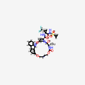 CC(C)(C)[C@@H]1NC(=O)OC/C=C/COc2ccc3c(c2)/C(=N/O[C@@H]2C[C@@H](C(=O)N[C@]4(C(=O)NS(=O)(=O)C5CC5)C[C@H]4C(F)F)N(C2)C1=O)c1ccccc1-3